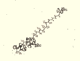 CC(C)(C)OC(=O)CCCCCCCCCCCCCCCCC(=O)N[C@H](C(=O)OC(C)(C)C)C(C)(C)CC(=O)ON1C(=O)CCC1=O